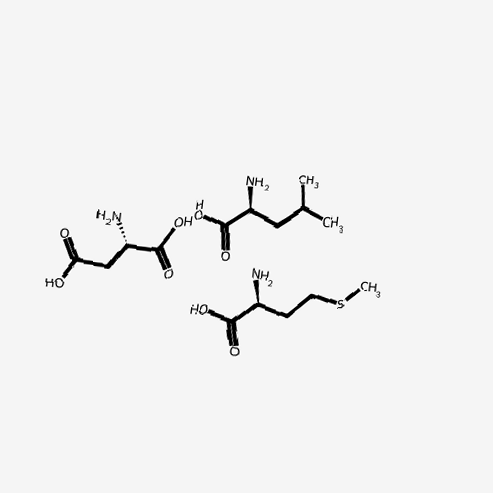 CC(C)C[C@H](N)C(=O)O.CSCC[C@H](N)C(=O)O.N[C@@H](CC(=O)O)C(=O)O